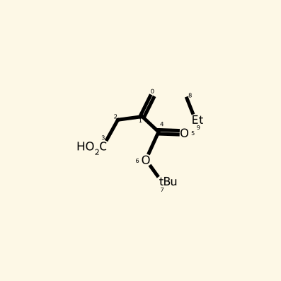 C=C(CC(=O)O)C(=O)OC(C)(C)C.CCC